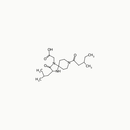 CCC(C)CC(=O)N1CCC2(CC1)NC(CC(C)C)C(=O)N2CC(=O)O